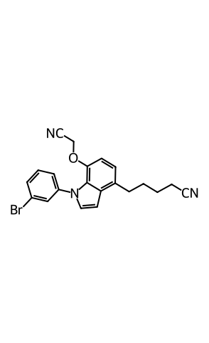 N#CCCCCc1ccc(OCC#N)c2c1ccn2-c1cccc(Br)c1